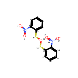 O=[N+]([O-])c1ccccc1SOSc1ccccc1[N+](=O)[O-]